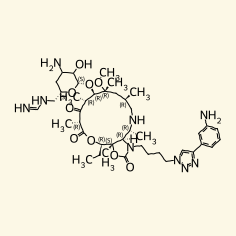 CC[C@H]1OC(=O)[C@H](C)C(=O)[C@H](C)[C@@H](O[C@@H]2O[C@H](CNC=N)CC(N)C2O)[C@](C)(OC)C[C@@H](C)CN[C@H](C)[C@H]2N(CCCCn3cc(-c4cccc(N)c4)nn3)C(=O)O[C@]12C